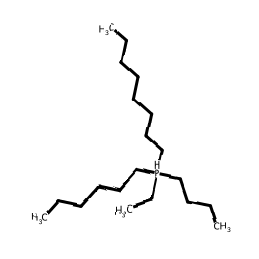 CCCCCCCC[PH](CC)(CCCC)CCCCCC